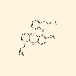 C=CCc1ccccc1Oc1ccc(C)c(Oc2ccccc2CC=C)c1C